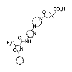 CC(C)(CC(=O)O)CC(=O)N1CCCN(c2ccc(NC(=O)c3nc(-c4ccccc4)oc3C(F)(F)F)cn2)CC1